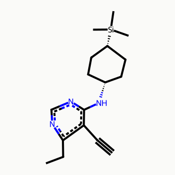 C#Cc1c(CC)ncnc1N[C@H]1CC[C@@H]([Si](C)(C)C)CC1